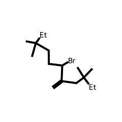 C=C(CC(C)(C)CC)C(Br)CCC(C)(C)CC